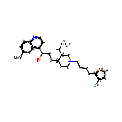 COc1ccc2nccc(C(O)CC[C@@H]3CCN(CCCCc4sccc4Cl)C[C@@H]3CC(=O)O)c2c1